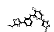 CCc1nc(-c2cccc(Cc3nn(-c4cnn(C)c4)ccc3=O)c2)no1